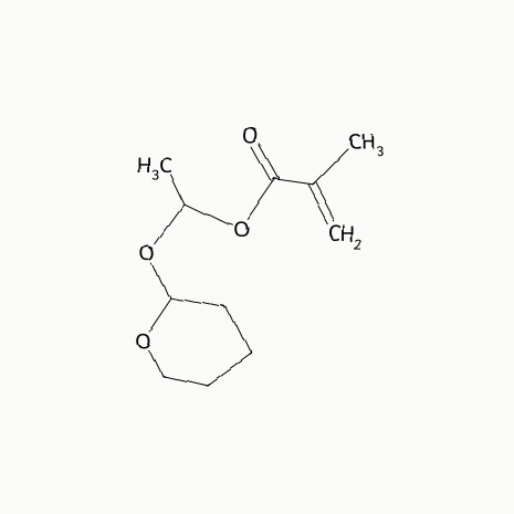 C=C(C)C(=O)OC(C)OC1CCCCO1